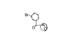 O=C(c1cccc(Br)c1)N1OC2C=CC1CC2